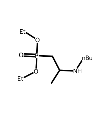 CCCCNC(C)CP(=O)(OCC)OCC